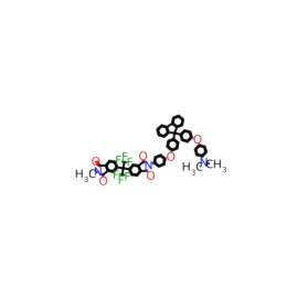 CN1C(=O)c2ccc(C(c3ccc4c(c3)C(=O)N(c3ccc(Oc5ccc(C6(c7ccc(Oc8ccc(N(C)C)cc8)cc7)c7ccccc7-c7ccccc76)cc5)cc3)C4=O)(C(F)(F)F)C(F)(F)F)cc2C1=O